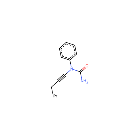 CC(C)CC#CN(C(N)=O)c1ccccc1